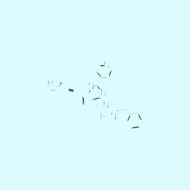 CCC(C)(O)C#Cc1csc2c(NCC(N)Cc3ccccc3)nc(-c3ccncc3)nc12